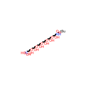 CC(C)(C)OC(=O)NCC(O)COCC(O)COCC(O)COCC(O)COCC(O)COCC(O)CN(O)O